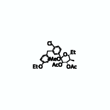 CCOc1ccc(Cc2cc(C3(OC)O[C@H](CC)[C@@H](C)[C@H](OC(C)=O)[C@H]3OC(C)=O)ccc2Cl)cc1